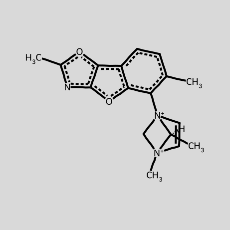 Cc1nc2oc3c([N+]45C=C[N+](C)(C4)[C@@H]5C)c(C)ccc3c2o1